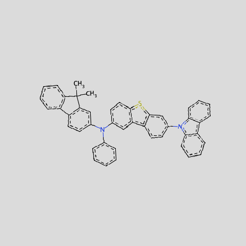 CC1(C)c2ccccc2-c2ccc(N(c3ccccc3)c3ccc4sc5cc(-n6c7ccccc7c7ccccc76)ccc5c4c3)cc21